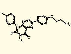 Cn1c(=O)c2nc(-c3ccc(OCCN)cc3)nnc2n(-c2ccc(F)cc2)c1=O